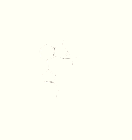 C[Si]1(C)C2=C1[CH]([Zr+2])c1cccc(C3=CC(CCO)=CC3)c12.[Cl-].[Cl-]